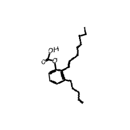 CCCCCCCCc1c(CCCCC)cccc1OC(=O)O